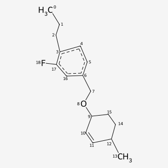 CCCc1ccc(COC2C=CC(C)CC2)cc1F